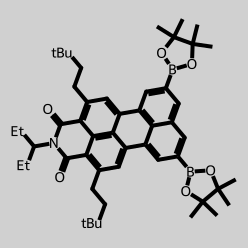 CCC(CC)N1C(=O)c2c(CCC(C)(C)C)cc3c4cc(B5OC(C)(C)C(C)(C)O5)cc5cc(B6OC(C)(C)C(C)(C)O6)cc(c6cc(CCC(C)(C)C)c(c2c36)C1=O)c54